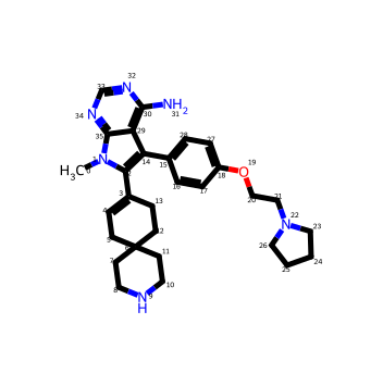 Cn1c(C2=CCC3(CCNCC3)CC2)c(-c2ccc(OCCN3CCCC3)cc2)c2c(N)ncnc21